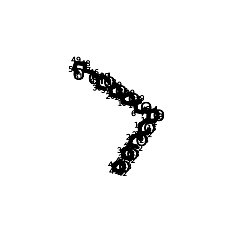 C1CCOC1.C1CCOC1.C1CCOC1.C1CCOC1.C1CCOC1.C1CCOC1.C1CCOC1.C1CCOC1.C1CCOC1.OCC1CCCO1